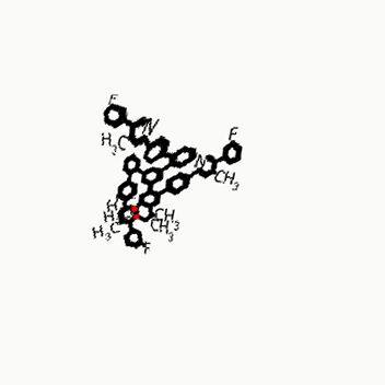 Cc1cc(-c2ccc(-c3ccccc3-c3cc(-c4ccccc4-c4ccc(-c5cc(C)c(-c6cccc(F)c6)cn5)cc4)cc(-c4cc5c(cc4-c4ccc(-c6cc(C)c(-c7cccc(F)c7)cn6)cc4)C(C)(C)CCC5(C)C)c3)cc2)ncc1-c1cccc(F)c1